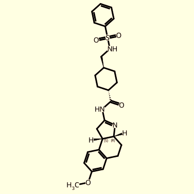 COc1ccc2c(c1)CC[C@H]1N=C(NC(=O)[C@H]3CC[C@H](CNS(=O)(=O)c4ccccc4)CC3)C[C@@H]21